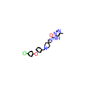 Cc1cc(NC(=O)N2CC3(CCN(Cc4cccc(Oc5ccc(Cl)cc5)c4)CC3)C2)ncn1